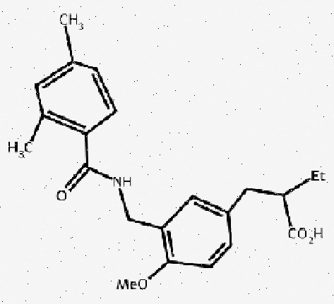 CCC(Cc1ccc(OC)c(CNC(=O)c2ccc(C)cc2C)c1)C(=O)O